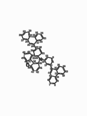 c1cc(-c2cc3ccccc3c3ccccc23)cc(N(c2ccc(-c3cc4ccccc4c4ccccc34)cc2)c2cccc3oc4ccccc4c23)c1